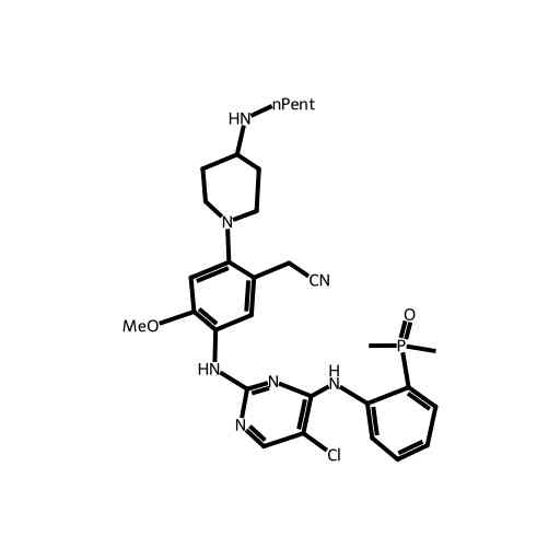 CCCCCNC1CCN(c2cc(OC)c(Nc3ncc(Cl)c(Nc4ccccc4P(C)(C)=O)n3)cc2CC#N)CC1